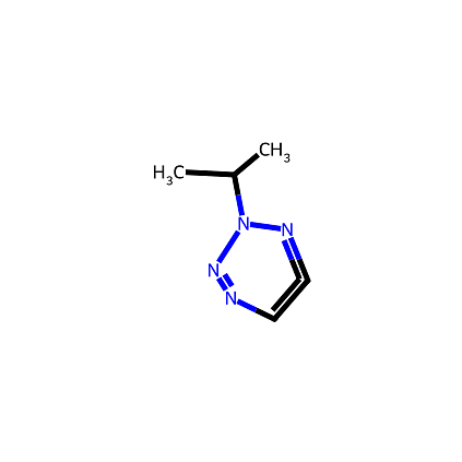 CC(C)N1N=C=CN=N1